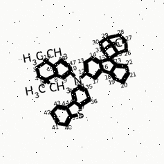 CC1(C)CCC(C)(C)c2cc(N(c3ccc4c(c3)-c3ccccc3C43C4CC5CC6CC3C64C5)c3ccc4sc5ccccc5c4c3)ccc21